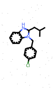 CC(C)CC1Nc2ccccc2N1Cc1ccc(Cl)cc1